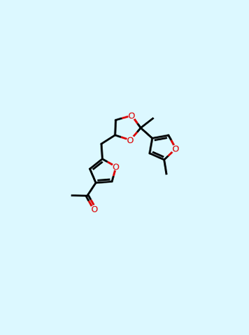 CC(=O)c1coc(CC2COC(C)(c3coc(C)c3)O2)c1